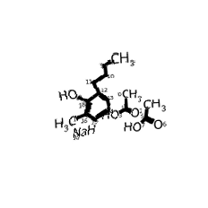 CC(=O)O.CC(=O)O.CCCCc1cccc(C)c1O.[NaH]